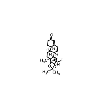 CC1(C)O[C@@H]2C[C@H]3[C@@H]4C=CC5=CC(=O)CC[C@@H]5[C@H]4CC[C@]3(C)[C@]2(C(=O)CF)O1